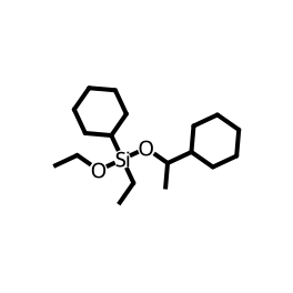 CCO[Si](CC)(OC(C)C1CCCCC1)C1CCCCC1